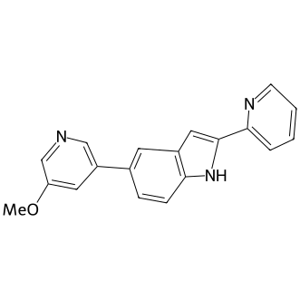 COc1cncc(-c2ccc3[nH]c(-c4ccccn4)cc3c2)c1